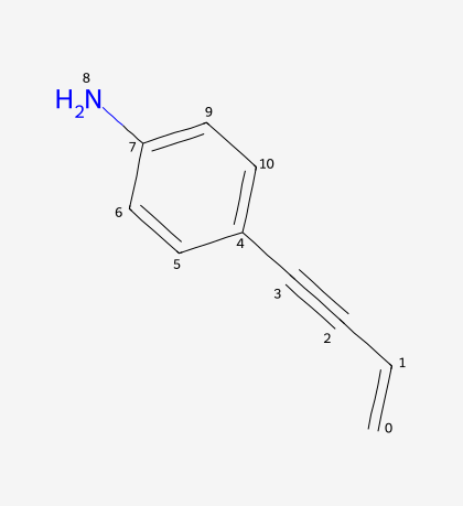 C=CC#Cc1ccc(N)cc1